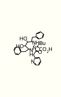 CC[C@H](C)[C@@H](C(=O)O)[N+]1(C(=O)Cc2ccccn2)NC(Cc2ccccc2)C(O)C(O)C(Cc2ccccc2)N1